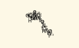 CC(C)(C)OC(=O)NCC1CCCN(CCOCCNc2cccc3c2C(=O)N(C2CCC(=O)NC2=O)C3=O)C1